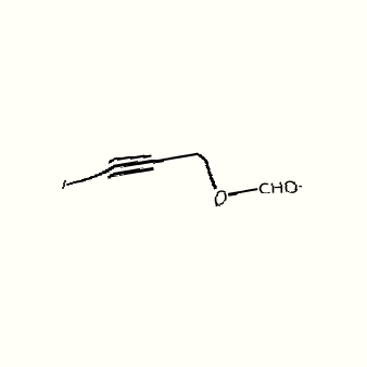 O=[C]OCC#CI